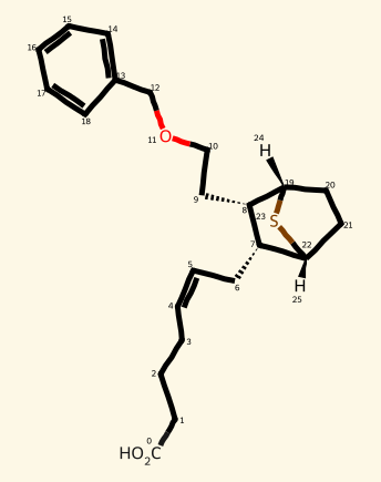 O=C(O)CCC/C=C\C[C@@H]1[C@H](CCOCc2ccccc2)[C@@H]2CC[C@H]1S2